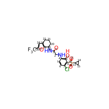 O=C(CNc1ccc(Cl)c(S(=O)(=O)C2CC2)c1O)NC1CCCc2cc(C(F)(F)F)oc21